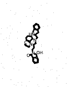 O=C1c2ccccc2C(O)N1CCCCN(CC1Cc2ccccc2CN1)[C@H]1CCCc2cccnc21